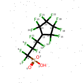 O=S(=O)(O)C(F)(F)C(F)(F)C(F)(F)C1C(F)(F)C(F)(F)C(F)(F)C1(F)F